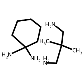 CC(C)(CN)CN.NC1(N)CCCCC1